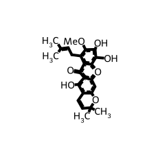 COc1c(O)c(O)c2oc3cc4c(c(O)c3c(=O)c2c1CC=C(C)C)C=CC(C)(C)O4